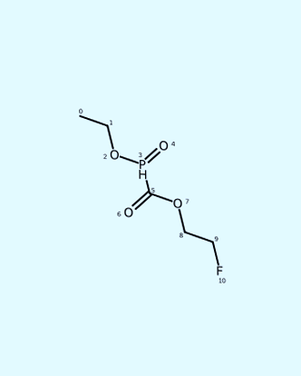 CCO[PH](=O)C(=O)OCCF